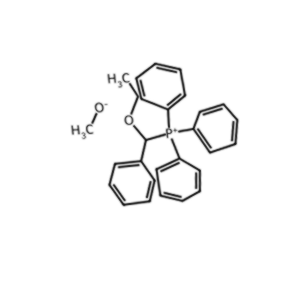 CCOC(c1ccccc1)[P+](c1ccccc1)(c1ccccc1)c1ccccc1.C[O-]